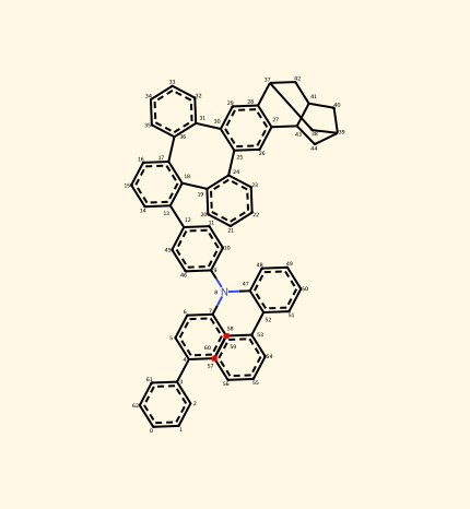 c1ccc(-c2ccc(N(c3ccc(-c4cccc5c4-c4ccccc4-c4cc6c(cc4-c4ccccc4-5)C4CC5CC(C4)C6C5)cc3)c3ccccc3-c3ccccc3)cc2)cc1